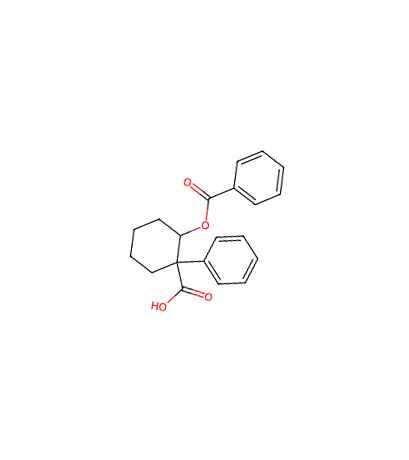 O=C(OC1CCCCC1(C(=O)O)c1ccccc1)c1ccccc1